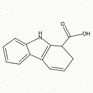 O=C(O)C1CC=Cc2c1[nH]c1ccccc21